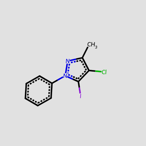 Cc1nn(-c2ccccc2)c(I)c1Cl